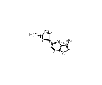 Cn1cc(-c2ccc3scc(Br)c3n2)cn1